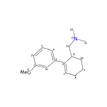 COc1cccc(C2=CCCCC2CN(C)C)c1